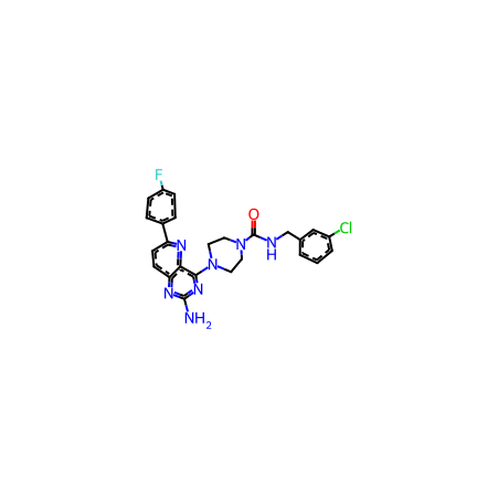 Nc1nc(N2CCN(C(=O)NCc3cccc(Cl)c3)CC2)c2nc(-c3ccc(F)cc3)ccc2n1